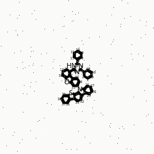 C1=CCC(C2=NC(c3ccccc3)NC(c3cccc4oc5cc(-n6c7ccccc7c7ccc8c9ccccc9sc8c76)ccc5c34)=N2)C=C1